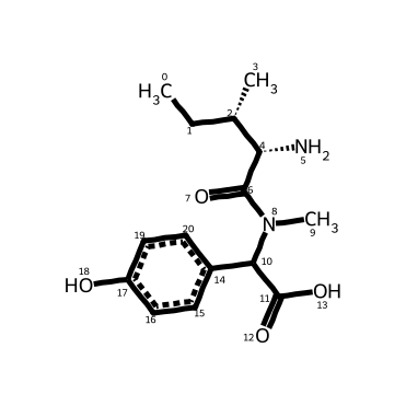 CC[C@H](C)[C@H](N)C(=O)N(C)C(C(=O)O)c1ccc(O)cc1